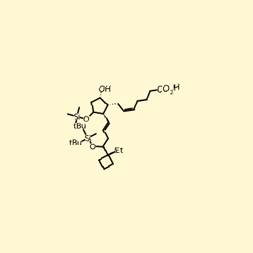 CCC1(C(CC=C[C@H]2C(O[Si](C)(C)C(C)(C)C)C[C@H](O)[C@@H]2C/C=C\CCCC(=O)O)O[Si](C)(C)C(C)(C)C)CCC1